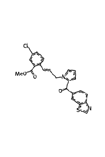 COC(=O)c1cc(Cl)ccc1C=CCn1cccc1C(=O)c1ccc2ncsc2c1